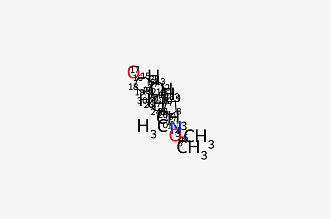 C/C(=N\OC(C)C)[C@H]1CC[C@H]2[C@@H]3CC[C@H]4CC(=O)CC[C@]4(C)[C@H]3CC[C@]12C